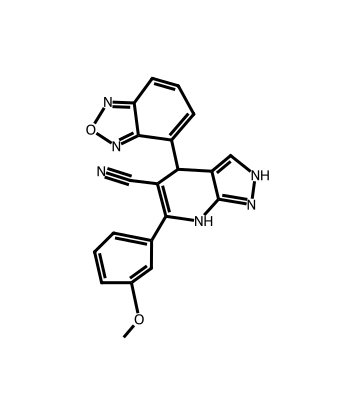 COc1cccc(C2=C(C#N)C(c3cccc4nonc34)c3c[nH]nc3N2)c1